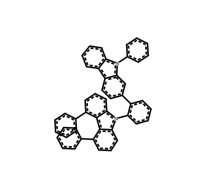 c1ccc(-c2cccc3c2c2c(-c4ccccc4)cccc2n3-c2ccccc2-c2ccc3c4ccccc4n(-c4ccccc4)c3c2)cc1